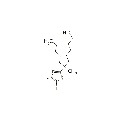 CCCCCCC(C)(CCCCC)c1nc(I)c(I)s1